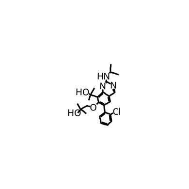 CC(C)Nc1ncc2cc(-c3ccccc3Cl)c(OCC(C)(C)O)c(C(C)(C)O)c2n1